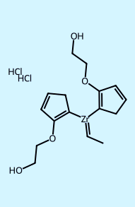 C[CH]=[Zr]([C]1=C(OCCO)C=CC1)[C]1=C(OCCO)C=CC1.Cl.Cl